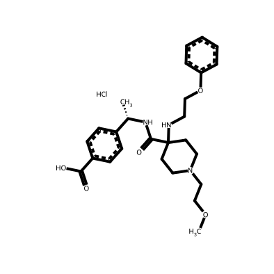 COCCN1CCC(NCCOc2ccccc2)(C(=O)N[C@@H](C)c2ccc(C(=O)O)cc2)CC1.Cl